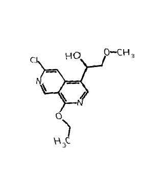 CCOc1ncc(C(O)COC)c2cc(Cl)ncc12